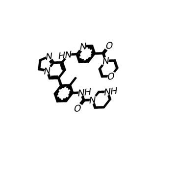 Cc1c(NC(=O)N2CCCNC2)cccc1C1=CN2CCN=C2C(Nc2ccc(C(=O)N3CCOCC3)cn2)=C1